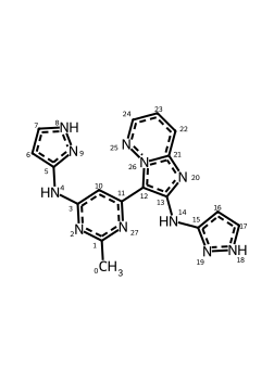 Cc1nc(Nc2cc[nH]n2)cc(-c2c(Nc3cc[nH]n3)nc3cccnn23)n1